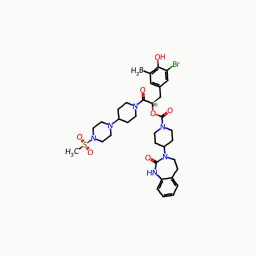 Bc1cc(C[C@@H](OC(=O)N2CCC(N3CCc4ccccc4NC3=O)CC2)C(=O)N2CCC(N3CCN(S(C)(=O)=O)CC3)CC2)cc(Br)c1O